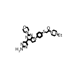 CCN1CCN(C(=O)CSc2ccc(N3CCc4c(-c5cnc(N)nc5)nc(N5CCOCC5)nc43)cc2)CC1